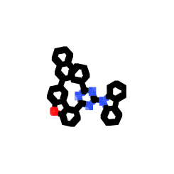 c1ccc(-c2nc(-c3cccc4oc5ccc(-c6ccc7ccccc7c6)cc5c34)nc(-n3c4ccccc4c4ccccc43)n2)cc1